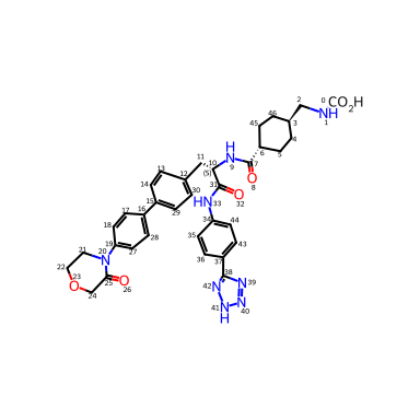 O=C(O)NC[C@H]1CC[C@H](C(=O)N[C@@H](Cc2ccc(-c3ccc(N4CCOCC4=O)cc3)cc2)C(=O)Nc2ccc(-c3nn[nH]n3)cc2)CC1